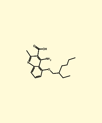 CCCCC(CC)COc1cccc2nc(C)c(C(=O)O)c(N)c12